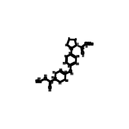 COC(=O)[C@H]1CCCN1c1ccc(OC2=CCN(C(=O)OC(C)(C)C)CC2)cc1